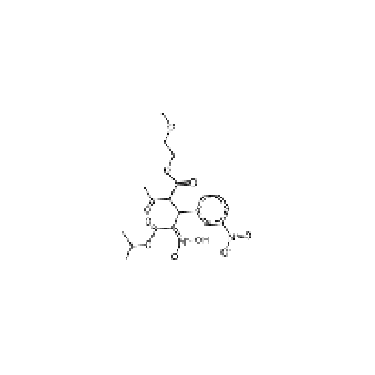 COCCOC(=O)C(C(C)=O)C(C(C(=O)OC(C)C)=[N+]([O-])O)c1cccc([N+](=O)[O-])c1